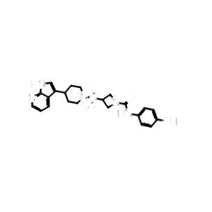 Cc1ccc(NC(=O)N2CC(S(=O)(=O)N3CCC(c4c[nH]c5ncccc45)CC3)C2)cc1